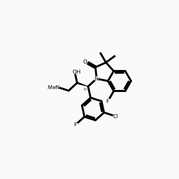 CNCC(O)[C@H](c1cc(F)cc(Cl)c1)N1C(=O)C(C)(C)c2cccc(F)c21